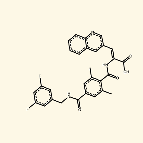 Cc1cc(C(=O)NCc2cc(F)cc(F)c2)cc(C)c1C(=O)NC(=Cc1cnc2ccccc2c1)C(=O)O